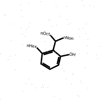 CCCCCCCCCC(CCCCCCCC)c1c(O)cccc1CCCCCC